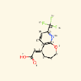 O=C(O)C=C1CCCOc2nc(C(F)(F)F)ccc21